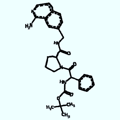 CC(C)(C)OC(=O)NC(C(=O)N1CCCC1C(=O)NCc1ccc2ccnc(N)c2c1)c1ccccc1